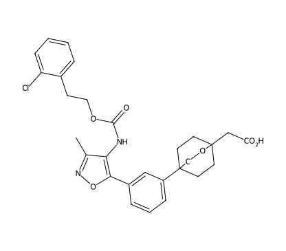 Cc1noc(-c2cccc(C34CCC(CC(=O)O)(CC3)OC4)c2)c1NC(=O)OCCc1ccccc1Cl